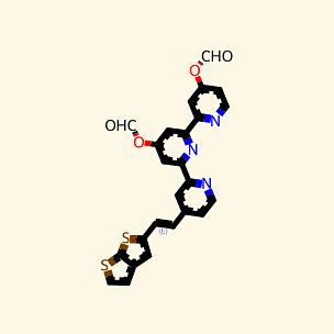 O=COc1ccnc(-c2cc(OC=O)cc(-c3cc(/C=C/c4cc5ccsc5s4)ccn3)n2)c1